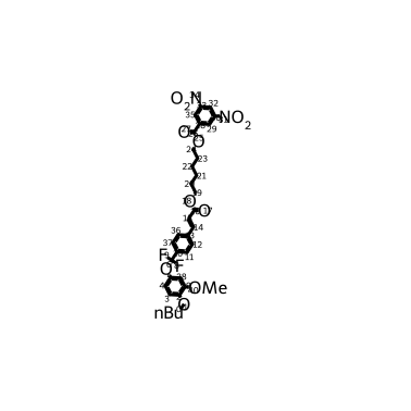 CCCCOc1ccc(OC(F)(F)c2ccc(/C=C/C(=O)OCCCCCCOC(=O)c3cc([N+](=O)[O-])cc([N+](=O)[O-])c3)cc2)cc1OC